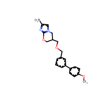 O=[N+]([O-])c1cn2c(n1)OCC(COCc1cccc(-c3ccc(OC(F)(F)F)cc3)c1)C2